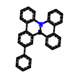 c1ccc(-c2ccc3c(c2)B2c4ccccc4-c4ccccc4N2c2ccccc2-3)cc1